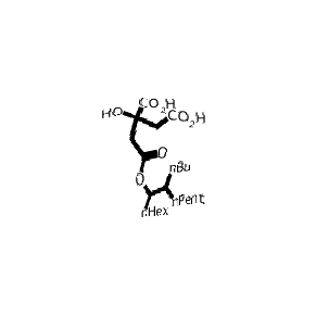 CCCCCCC(OC(=O)CC(O)(CC(=O)O)C(=O)O)C(CCCC)CCCCC